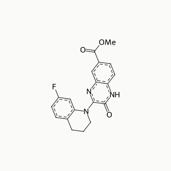 COC(=O)c1ccc2[nH]c(=O)c(N3CCCc4ccc(F)cc43)nc2c1